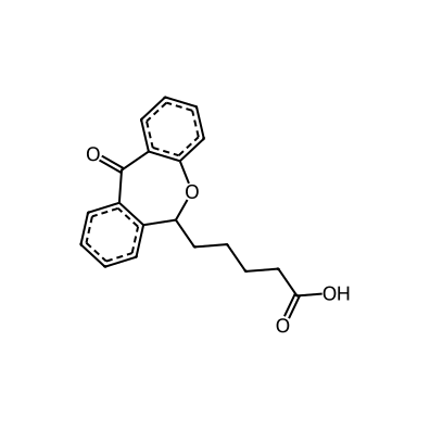 O=C(O)CCCCC1Oc2ccccc2C(=O)c2ccccc21